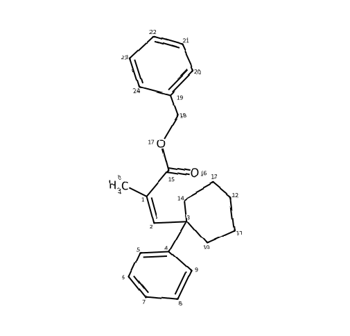 CC(=CC1(c2ccccc2)CCCCC1)C(=O)OCc1ccccc1